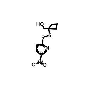 O=[N+]([O-])c1ccc(SSC2(CO)CCC2)nc1